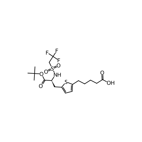 CC(C)(C)OC(=O)[C@H](Cc1ccc(CCCCC(=O)O)s1)NS(=O)(=O)CC(F)(F)F